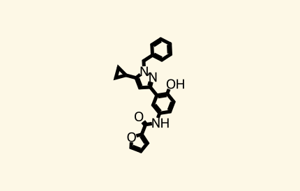 O=C(Nc1ccc(O)c(-c2cc(C3CC3)n(Cc3ccccc3)n2)c1)c1ccco1